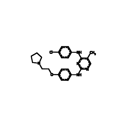 Cc1cnc(Nc2ccc(OCCN3CCCC3)cc2)nc1Nc1ccc(Cl)cc1